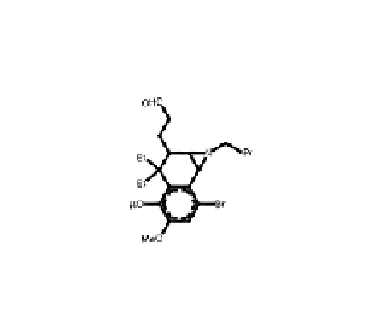 CCC1(CC)c2c(O)c(OC)cc(Br)c2C2C(C1CCC=O)N2CC(C)C